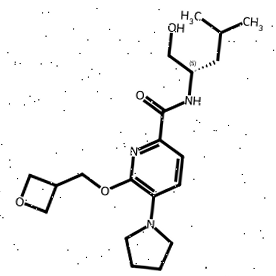 CC(C)C[C@@H](CO)NC(=O)c1ccc(N2CCCC2)c(OCC2COC2)n1